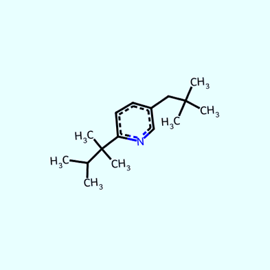 CC(C)C(C)(C)c1ccc(CC(C)(C)C)cn1